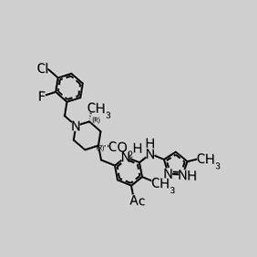 CC(=O)c1cc(C[C@@]2(C(=O)O)CCN(Cc3cccc(Cl)c3F)[C@H](C)C2)nc(Nc2cc(C)[nH]n2)c1C